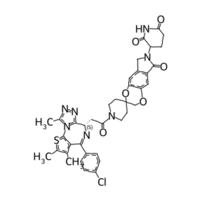 Cc1sc2c(c1C)C(c1ccc(Cl)cc1)=N[C@@H](CC(=O)N1CCC3(CC1)COc1cc4c(cc1O3)CN(C1CCC(=O)NC1=O)C4=O)c1nnc(C)n1-2